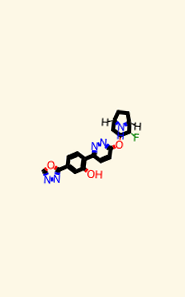 Oc1cc(-c2nnco2)ccc1-c1ccc(O[C@@H]2C[C@H]3CC[C@H](N3)[C@@H]2F)nn1